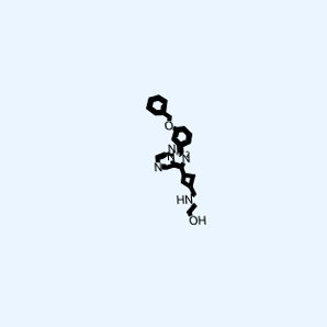 N[N+]12C=CN=CC1=C(C1CC(CNCCO)C1)N=C2c1cccc(OCc2ccccc2)c1